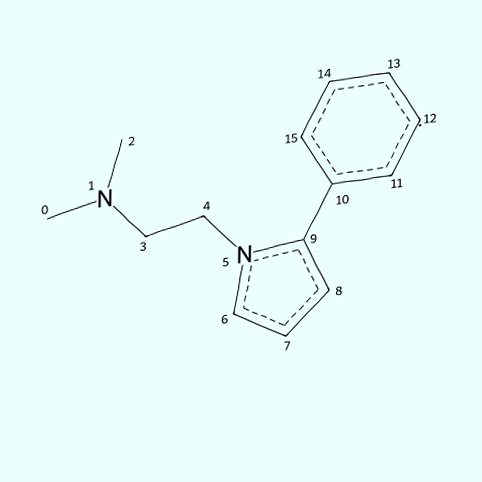 CN(C)CCn1cccc1-c1c[c]ccc1